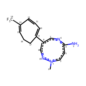 Cn1ccc(N)ncc(/C2=C/C=C\C(C(F)(F)F)=C/CC2)cn1